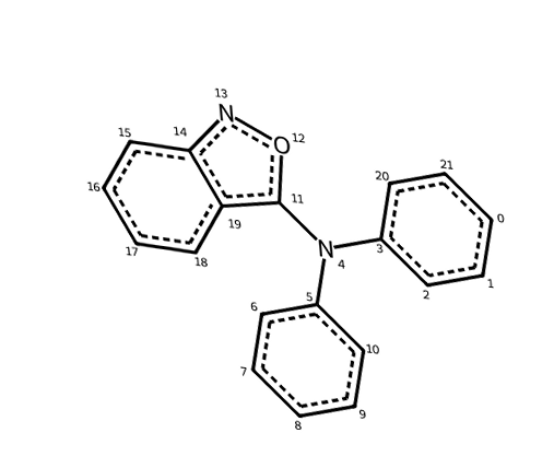 c1ccc(N(c2ccccc2)c2onc3ccccc23)cc1